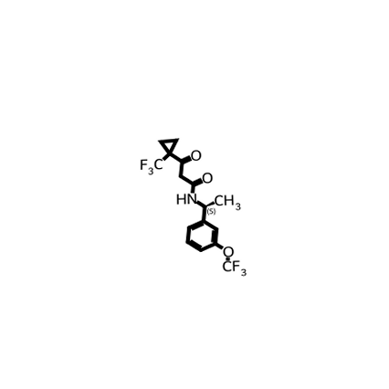 C[C@H](NC(=O)CC(=O)C1(C(F)(F)F)CC1)c1cccc(OC(F)(F)F)c1